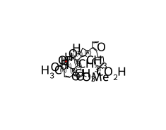 COC(=O)C[C@H]1[C@]2(C)C3=C(C)[C@H](c4ccoc4-c4ccc(C(=O)O)cc4)C[C@H]3O[C@@H]2[C@@H]2OC(=O)[C@]3(C)C=CC(=O)[C@@]1(C)[C@@H]23